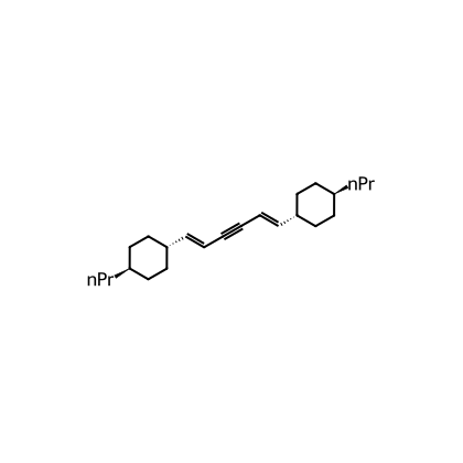 CCC[C@H]1CC[C@H](/C=C/C#C/C=C/[C@H]2CC[C@H](CCC)CC2)CC1